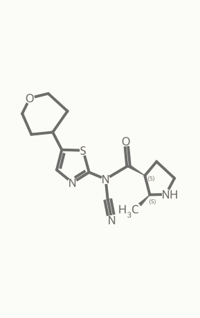 C[C@@H]1NCC[C@@H]1C(=O)N(C#N)c1ncc(C2CCOCC2)s1